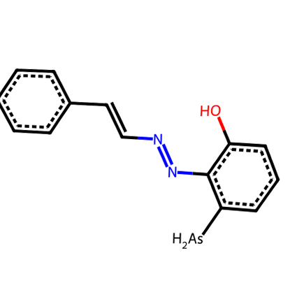 Oc1cccc([AsH2])c1N=NC=Cc1ccccc1